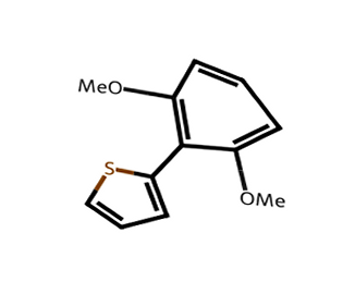 COc1cccc(OC)c1-c1cccs1